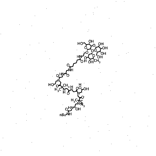 CCCCNC(=O)CNC(O)CNC(C)(C)C(=O)CN(CC(O)O)C(=O)CNC(=O)CNC(C)(C)C(=O)CN(CCO)C(=O)CNC(=O)CNC(=O)CCCCC(=O)NCCO[C@@H]1OC(CO)[C@H](O)C(O[C@H]2OC(CO)[C@H](O)C(O)C2O)C1O[C@H]1CC(O)[C@H](O)C(C)O1